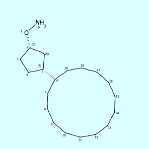 NO[C@H]1CC[C@@H](C2CCCCCCCCCCCCC2)C1